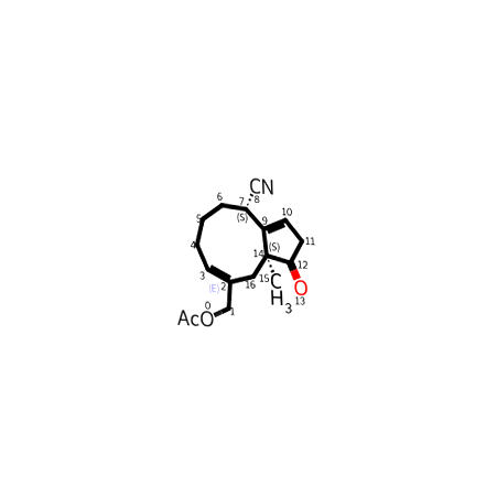 CC(=O)OC/C1=C/CCC[C@H](C#N)C2=CCC(=O)[C@@]2(C)C1